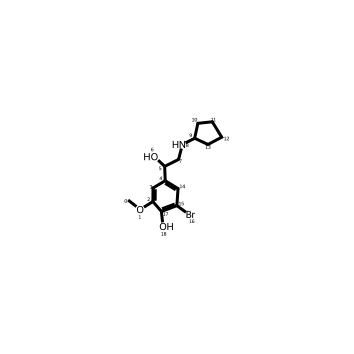 COc1cc(C(O)CNC2CCCC2)cc(Br)c1O